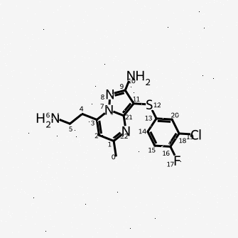 Cc1cc(CCN)n2nc(N)c(Sc3ccc(F)c(Cl)c3)c2n1